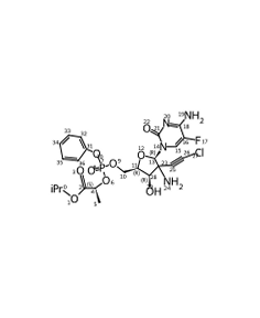 CC(C)OC(=O)[C@H](C)OP(=O)(OC[C@H]1O[C@@H](n2cc(F)c(N)nc2=O)C(N)(C#CCl)[C@H]1O)Oc1ccccc1